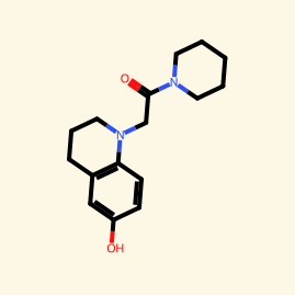 O=C(CN1CCCc2cc(O)ccc21)N1CCCCC1